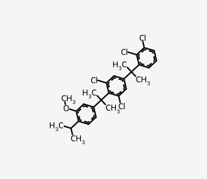 COc1cc(C(C)(C)c2c(Cl)cc(C(C)(C)c3cccc(Cl)c3Cl)cc2Cl)ccc1C(C)C